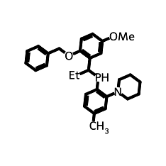 CCC(Pc1ccc(C)cc1N1CCCCC1)c1cc(OC)ccc1OCc1ccccc1